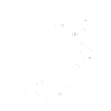 COC(=O)[C@@H]1C[C@@H](O)CN1C(=O)C(c1cc(OCCCCN2CCCN(c3nccc(-c4noc([C@@]5(C)CCCc6sc(N)c(C#N)c65)n4)n3)[C@@H](C)C2)no1)C(C)C